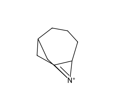 C1CC2CC3=[N+](C2)C3C1